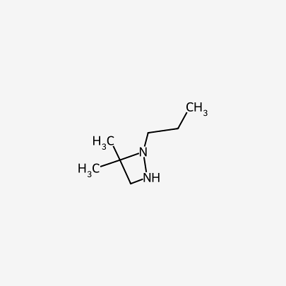 CCCN1NCC1(C)C